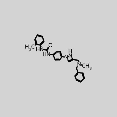 Cc1ccccc1NC(=O)Nc1ccc(-n2cc(CN(C)Cc3ccccc3)[nH]2)cc1